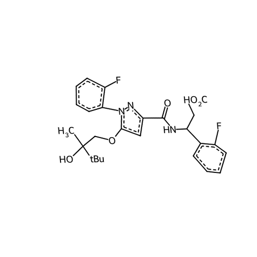 CC(C)(C)C(C)(O)COc1cc(C(=O)NC(CC(=O)O)c2ccccc2F)nn1-c1ccccc1F